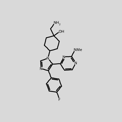 CNc1nccc(-c2c(-c3ccc(F)cc3)ncn2C2CCC(O)(CN)CC2)n1